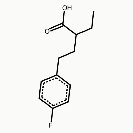 CCC(CCc1ccc(F)cc1)C(=O)O